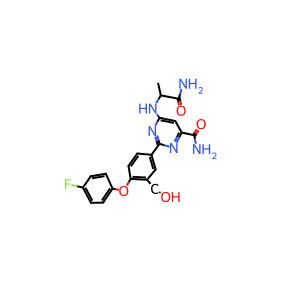 CC(Nc1cc(C(N)=O)nc(-c2ccc(Oc3ccc(F)cc3)c(CO)c2)n1)C(N)=O